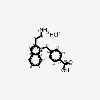 Cl.NCCc1cc2ccccc2n1Cc1ccc(C(=O)O)cc1